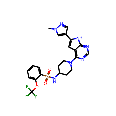 Cn1cc(-c2cc3c(N4CCC(NS(=O)(=O)c5ccccc5OC(F)(F)F)CC4)ncnc3[nH]2)cn1